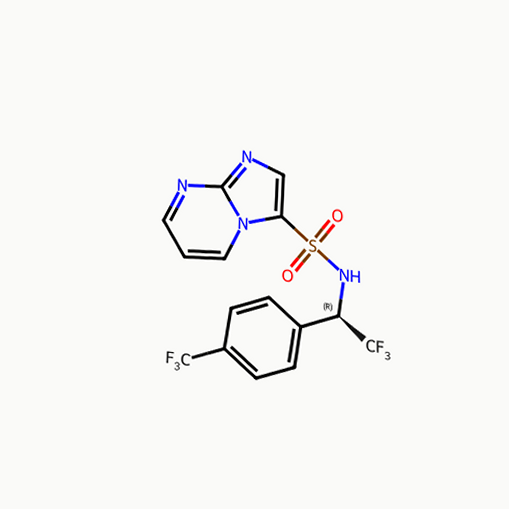 O=S(=O)(N[C@H](c1ccc(C(F)(F)F)cc1)C(F)(F)F)c1cnc2ncccn12